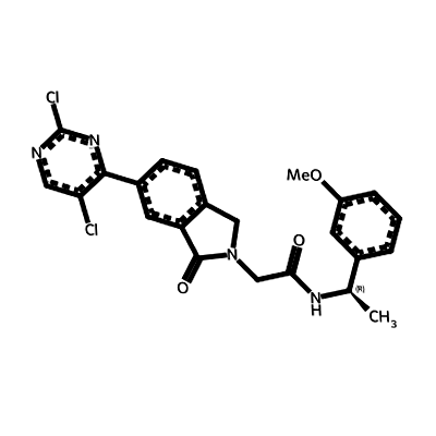 COc1cccc([C@@H](C)NC(=O)CN2Cc3ccc(-c4nc(Cl)ncc4Cl)cc3C2=O)c1